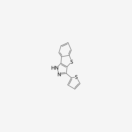 c1csc(-c2n[nH]c3c2sc2ccccc23)c1